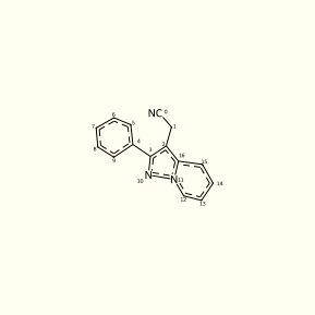 N#CCc1c(-c2ccccc2)nn2ccccc12